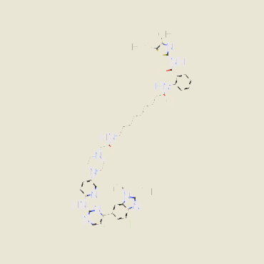 Cc1nc(NC(=O)c2ccccc2NC(=O)CCCCCCCCNC(=O)CN2CCN(c3ccc(Nc4ncc(F)c(-c5cc(F)c6nc(C)n(C(C)C)c6c5)n4)nc3)CC2)sc1C